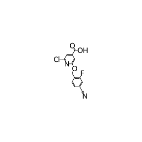 N#Cc1ccc(COc2cc(C(=O)O)cc(Cl)n2)c(F)c1